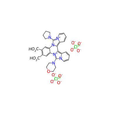 O=C(O)c1cc2c(cc1C(=O)O)[n+]1c(N3CCOCC3)n3ccccc3c1c1c3cccc[n+]3c(N3CCCC3)n21.[O-][Cl+3]([O-])([O-])[O-].[O-][Cl+3]([O-])([O-])[O-]